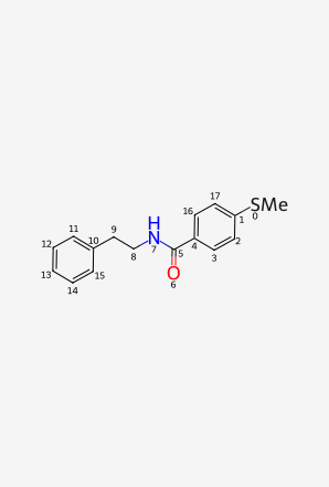 CSc1ccc(C(=O)NCCc2ccccc2)cc1